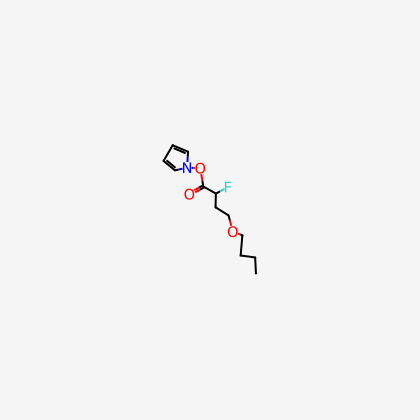 CCCCOCCC(F)C(=O)On1cccc1